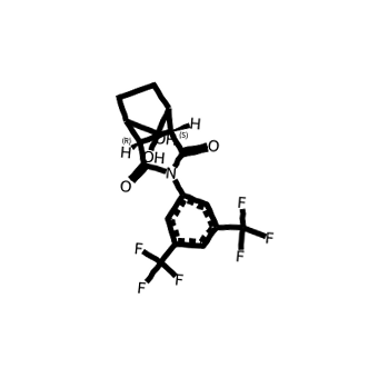 O=C1[C@@H]2C3CCC([C@@H]2C(=O)N1c1cc(C(F)(F)F)cc(C(F)(F)F)c1)C3(O)O